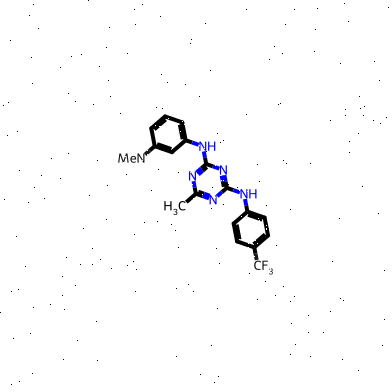 CNc1cccc(Nc2nc(C)nc(Nc3ccc(C(F)(F)F)cc3)n2)c1